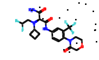 NC(=O)[C@@H](C(=O)Nc1ccc(N2CCOCC2=O)c(C(F)(F)F)c1)N(CC(F)F)C1CCC1